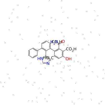 NC(=O)c1c(C(=O)O)c(O)cc(C(=O)O)c1-c1c(C(=O)O)ccc(-c2ccccc2)c1-c1cnc[nH]1